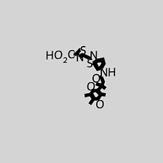 CC1=C(C)C(=O)C(C(C)(C)CC(=O)Nc2ccc3nc(C4=N[C@@H](C(=O)O)CS4)sc3c2)=C(C)C1=O